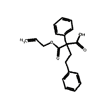 C=CCOC(=O)C(CCc1ccccc1)(C(=O)O)c1ccccc1